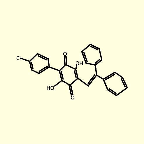 O=C1C(O)=C(c2ccc(Cl)cc2)C(=O)C(O)=C1C=C(c1ccccc1)c1ccccc1